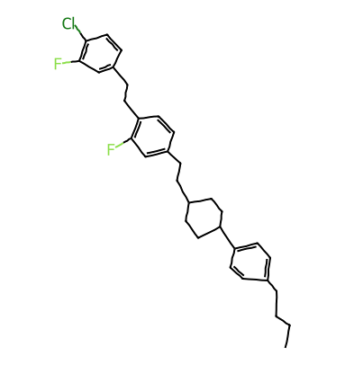 CCCCc1ccc(C2CCC(CCc3ccc(CCc4ccc(Cl)c(F)c4)c(F)c3)CC2)cc1